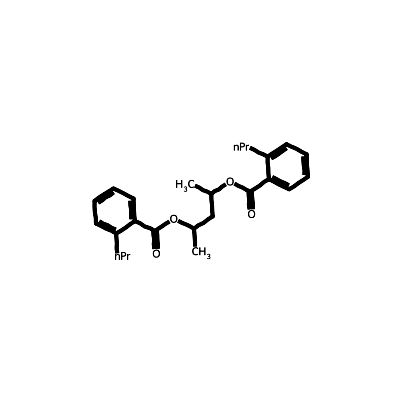 CCCc1ccccc1C(=O)OC(C)CC(C)OC(=O)c1ccccc1CCC